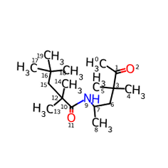 CC(=O)C(C)(C)CC(C)NC(=O)C(C)(C)CC(C)(C)C